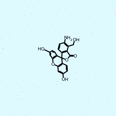 Nc1ccc2c(c1CO)C(=O)OC21c2ccc(O)cc2Oc2cc(O)ccc21